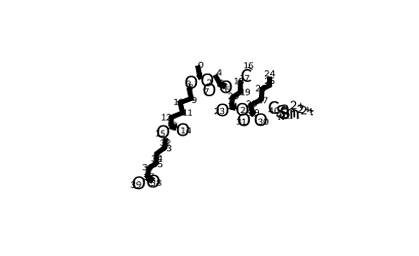 CC(=O)[O-].CC(=O)[O-].CCCCCC(=O)[O-].CCCCCC(=O)[O-].CCCCCC(=O)[O-].CCCCCC(=O)[O-].[Ca+2].[Sn+2].[Sn+2]